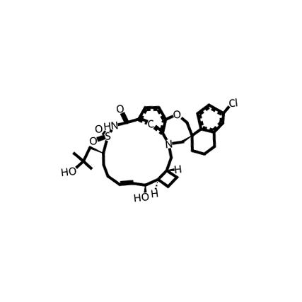 CC(C)(O)C[C@@H]1CC/C=C/[C@H](O)[C@@H]2CC[C@H]2CN2C[C@@]3(CCCc4cc(Cl)ccc43)COc3ccc(cc32)C(=O)NS1(=O)=O